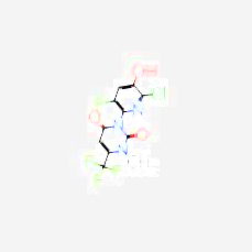 Cn1c(C(F)(F)F)cc(=O)n(-c2nc(Cl)c(O)cc2F)c1=O